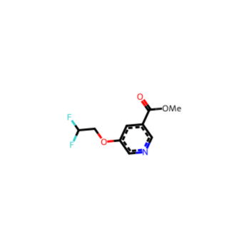 COC(=O)c1cncc(OCC(F)F)c1